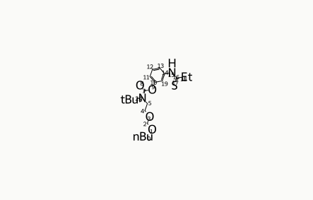 CCCCOCOCCN(C(=O)Oc1cccc(NC(=S)CC)c1)C(C)(C)C